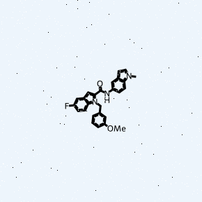 COc1cccc(Cn2c(C(=O)Nc3ccc4c(ccn4C)c3)cc3cc(F)ccc32)c1